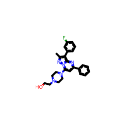 Cc1nn2c(N3CCN(CCO)CC3)cc(-c3ccccc3)nc2c1-c1cccc(F)c1